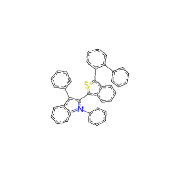 c1ccc(-c2ccccc2-c2sc(-c3c(-c4ccccc4)c4ccccc4n3-c3ccccc3)c3ccccc23)cc1